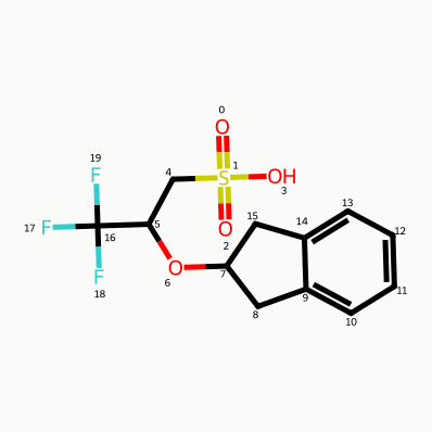 O=S(=O)(O)CC(OC1Cc2ccccc2C1)C(F)(F)F